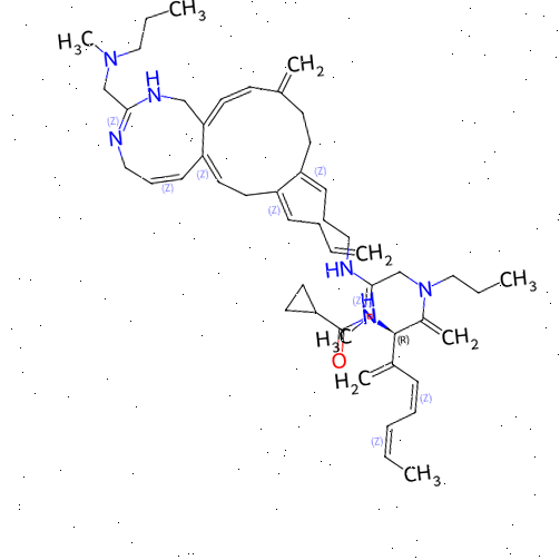 C=CC/C=C1/C/C=C2/C=C\C/N=C(/CN(C)CCC)NCC2=C=CC(=C)CC/C1=C/CCN/C(CN(CCC)C(=C)[C@H](NC(=O)C1CC1)C(=C)/C=C\C=C/C)=N\C